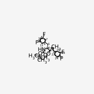 CN(C(=O)[C@H](Cc1cc(F)cc(F)c1)NC(=O)OC(C)(C)C)c1ccc(F)c(F)c1